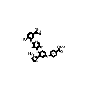 COC(=O)C12CCC(Oc3ccc(Oc4c(F)cnc(Oc5cc(C(=N)N)ccc5O)c4F)c(C4N=CCN4C)c3)(CC1)CC2